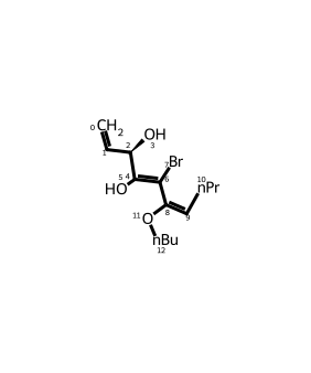 C=C[C@@H](O)/C(O)=C(Br)/C(=C\CCC)OCCCC